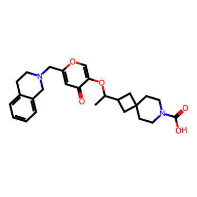 CC(Oc1coc(CN2CCc3ccccc3C2)cc1=O)C1CC2(CCN(C(=O)O)CC2)C1